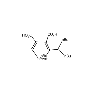 CCCCCC=C(C(=O)O)C(C(=O)O)=C(CCCC)C(CCCC)CCCC